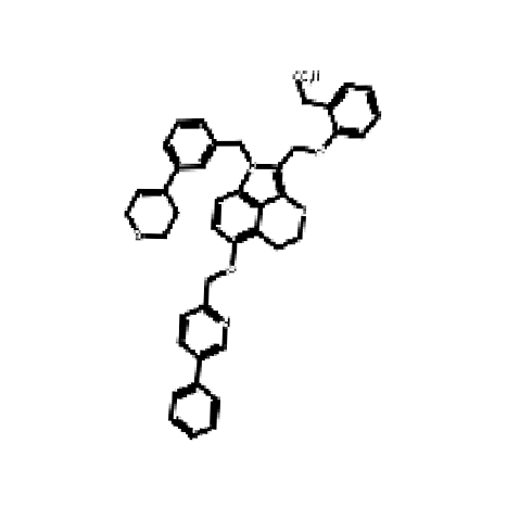 O=C(O)Cc1ccccc1OCc1c2c3c(c(OCc4ccc(-c5ccccc5)cn4)ccc3n1Cc1cccc(C3=CCOCC3)c1)CCS2